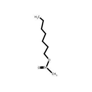 CCCCCCC[O][Sn]([CH3])=[O]